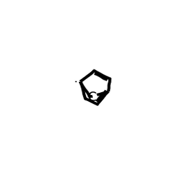 C1=CC2=CC[C]1CC2